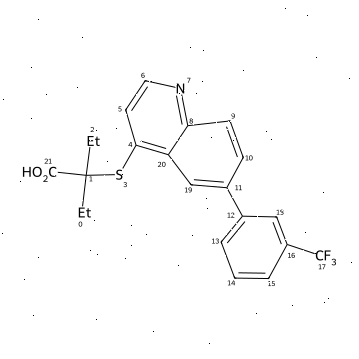 CCC(CC)(Sc1ccnc2ccc(-c3cccc(C(F)(F)F)c3)cc12)C(=O)O